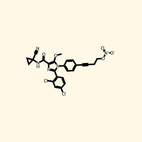 COc1c(C(=O)NC2(C#N)CC2)nc(-c2ccc(Cl)cc2Cl)n1-c1ccc(C#CCCO[N+](=O)[O-])cc1